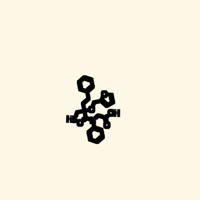 O=C(O)CN(C(=O)C(CS)(CCc1ccccc1)OCc1ccco1)c1ccccc1